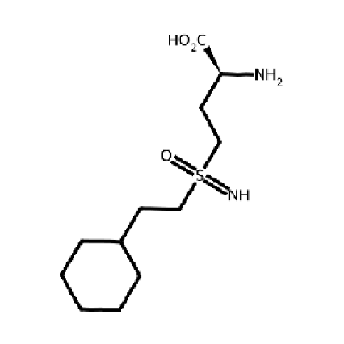 N=S(=O)(CCC1CCCCC1)CC[C@H](N)C(=O)O